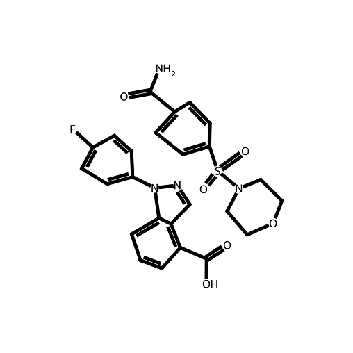 NC(=O)c1ccc(S(=O)(=O)N2CCOCC2)cc1.O=C(O)c1cccc2c1cnn2-c1ccc(F)cc1